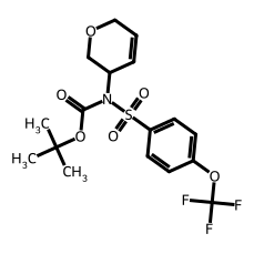 CC(C)(C)OC(=O)N(C1C=CCOC1)S(=O)(=O)c1ccc(OC(F)(F)F)cc1